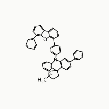 CC12CCC3(CC1)c1ccc(-c4ccccc4)cc1N(c1ccc(-c4cccc5c4oc4c(-c6ccccc6)cccc45)cc1)c1cccc2c13